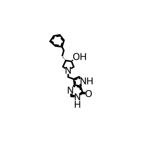 O=c1[nH]cnc2c(CN3C[C@H](CCc4ccccc4)[C@@H](O)C3)c[nH]c12